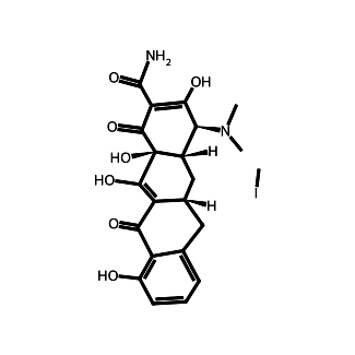 CI.CN(C)[C@@H]1C(O)=C(C(N)=O)C(=O)[C@@]2(O)C(O)=C3C(=O)c4c(O)cccc4C[C@H]3C[C@@H]12